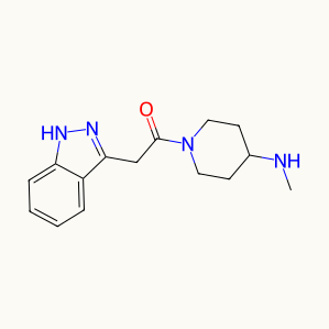 CNC1CCN(C(=O)Cc2n[nH]c3ccccc23)CC1